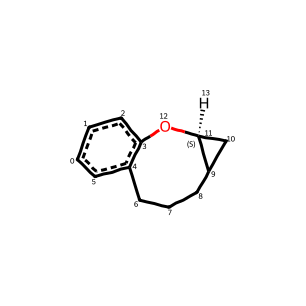 c1ccc2c(c1)CCCC1C[C@@H]1O2